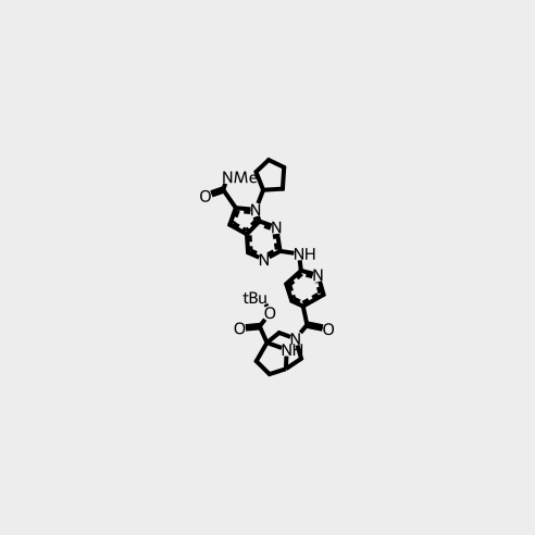 CNC(=O)c1cc2cnc(Nc3ccc(C(=O)N4CC5CCC(C(=O)OC(C)(C)C)(C4)N5)cn3)nc2n1C1CCCC1